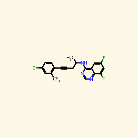 CC(CC#Cc1ccc(Cl)cc1C(F)(F)F)Nc1ncnc2c(F)cc(F)cc12